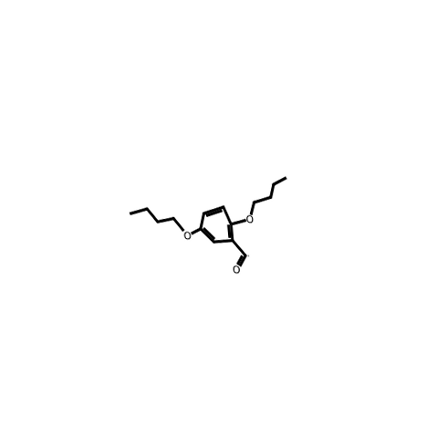 CCCCOc1ccc(OCCCC)c([C]=O)c1